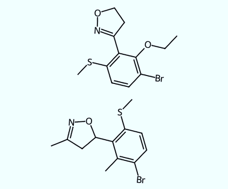 CCOc1c(Br)ccc(SC)c1C1=NOCC1.CSc1ccc(Br)c(C)c1C1CC(C)=NO1